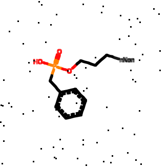 CCCCCCCCCCCCOP(=O)(O)Cc1ccccc1